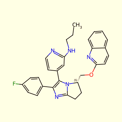 CCCNc1cc(-c2c(-c3ccc(F)cc3)nc3n2[C@H](COc2ccc4ccccc4n2)CC3)ccn1